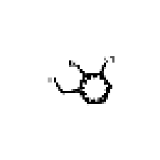 N#Cc1cccc(CO)c1Br